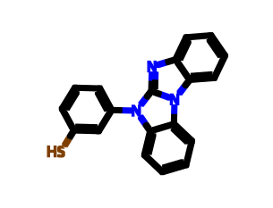 Sc1cccc(-n2c3ccccc3n3c4ccccc4nc23)c1